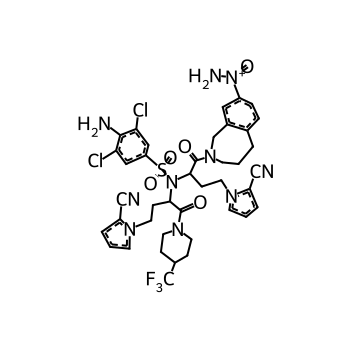 N#Cc1cccn1CCC(C(=O)N1CCC(C(F)(F)F)CC1)N(C(CCn1cccc1C#N)C(=O)N1CCCc2ccc([N+](N)=O)cc2C1)S(=O)(=O)c1cc(Cl)c(N)c(Cl)c1